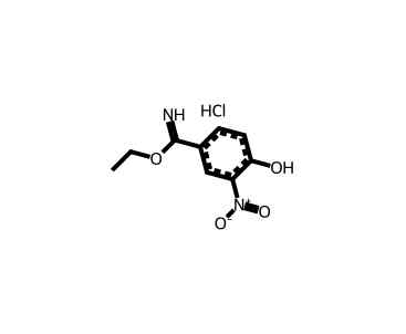 CCOC(=N)c1ccc(O)c([N+](=O)[O-])c1.Cl